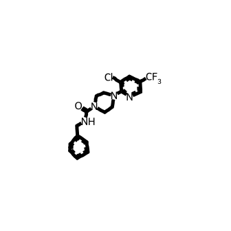 O=C(NCc1ccccc1)N1CCN(c2ncc(C(F)(F)F)cc2Cl)CC1